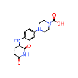 O=C1CCC(Nc2ccc(N3CCN(C(=O)O)CC3)cc2)C(=O)N1